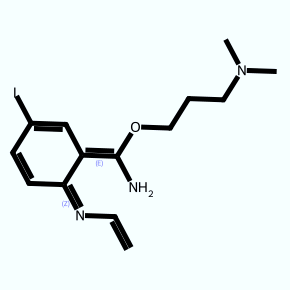 C=C/N=C1/C=CC(I)=C/C1=C(/N)OCCCN(C)C